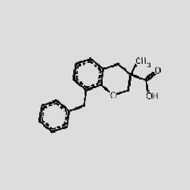 CC1(C(=O)O)COc2c(Cc3ccccc3)cccc2C1